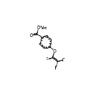 COC(=O)c1ccc(OC(F)=C(F)F)cc1